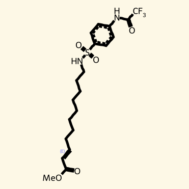 COC(=O)/C=C/CCCCCCCCNS(=O)(=O)c1ccc(NC(=O)C(F)(F)F)cc1